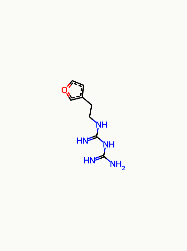 N=C(N)NC(=N)NCCc1ccoc1